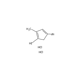 CC1=[C]([Hf])CC(C(C)C)=C1.Cl.Cl